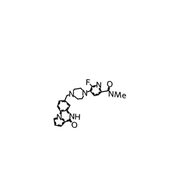 CNC(=O)c1ccc(N2CCN(Cc3ccc4c(c3)[nH]c(=O)c3cccn34)CC2)c(F)n1